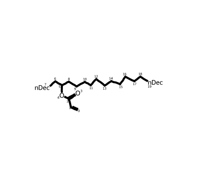 C=CC(=O)OC(CCCCCCCCCCC)CCCCCCCCCCCCCCCCCCCCC